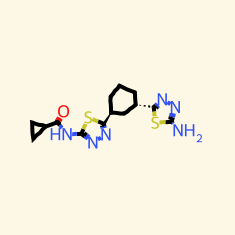 Nc1nnc([C@H]2CCC[C@H](c3nnc(NC(=O)C4CC4)s3)C2)s1